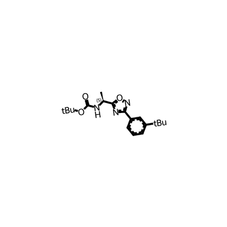 C[C@H](NC(=O)OC(C)(C)C)c1nc(-c2cccc(C(C)(C)C)c2)no1